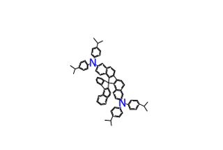 CC(C)c1ccc(N(c2ccc(C(C)C)cc2)c2ccc3c4c(ccc3c2)-c2ccc3cc(N(c5ccc(C(C)C)cc5)c5ccc(C(C)C)cc5)ccc3c2C42c3ccccc3-c3c2ccc2ccccc32)cc1